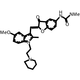 CNC(=O)Nc1ccc2c(c1)C(=O)/C(=C/c1c(C)n(CCN3CCCCC3)c3ccc(OC)cc13)O2